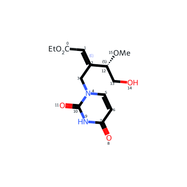 CCOC(=O)/C=C(\Cn1ccc(=O)[nH]c1=O)[C@@H](CO)OC